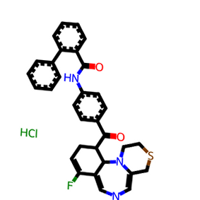 Cl.O=C(Nc1ccc(C(=O)C2CC=C(F)C3=CNC=C4CSCCN4C32)cc1)c1ccccc1-c1ccccc1